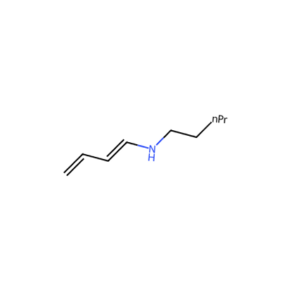 C=CC=CNCCCCC